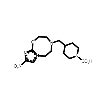 O=C(O)N1CCC(CN2CCOc3nc([N+](=O)[O-])cn3CC2)CC1